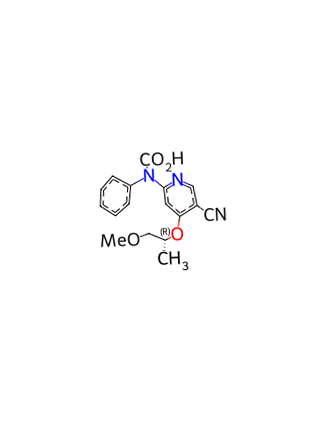 COC[C@@H](C)Oc1cc(N(C(=O)O)c2ccccc2)ncc1C#N